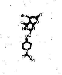 CCCCc1cc(=O)oc2nc(ON=C3CCN(C(=O)OC(C)C)CC3)[nH]c(=O)c12